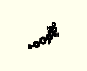 O=C1CC[C@H](Nc2ccc(N3CCC(c4ccc(Br)cc4)CC3)c(F)c2)C(=O)N1